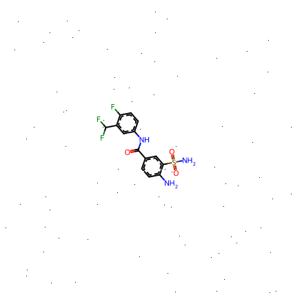 Nc1ccc(C(=O)Nc2ccc(F)c(C(F)F)c2)cc1S(N)(=O)=O